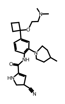 CC1CCN(c2cc(C3(OCCN(C)C)CCC3)ccc2NC(=O)C2=CC(C#N)CN2)CC1